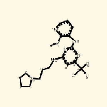 COc1ncccc1Nc1nc(NCCCN2CCCC2)nc(C(Cl)(Cl)Cl)n1